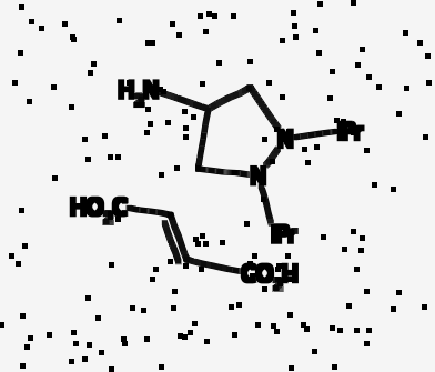 CC(C)N1CC(N)CN1C(C)C.O=C(O)C=CC(=O)O